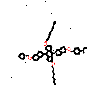 C#CC#CC#CC#COc1ccc2c(-c3ccc4cc(OCc5ccc(C(C)CC)cc5)ccc4c3)c3cc(OCCCCCCCC)ccc3c(-c3ccc4cc(OCc5ccccc5)ccc4c3)c2c1